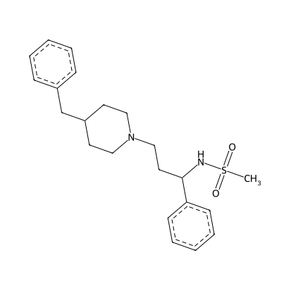 CS(=O)(=O)NC(CCN1CCC(Cc2ccccc2)CC1)c1ccccc1